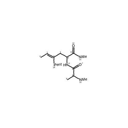 C/C=C(/CC(NC(=O)C(C)NC)C(=O)NC)C(C)CCC